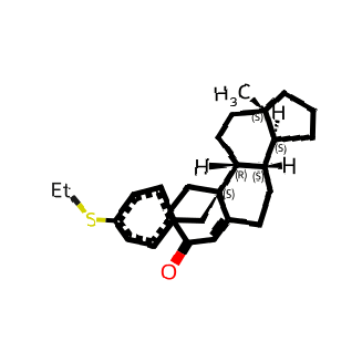 CCSc1ccc(C[C@]23CCC(=O)C=C2CC[C@@H]2[C@H]3CC[C@]3(C)CCC[C@@H]23)cc1